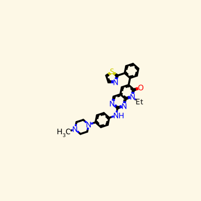 CCn1c(=O)c(-c2ccccc2-c2nccs2)cc2cnc(Nc3ccc(N4CCN(C)CC4)cc3)nc21